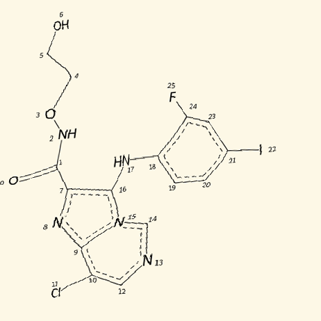 O=C(NOCCO)c1nc2c(Cl)cncn2c1Nc1ccc(I)cc1F